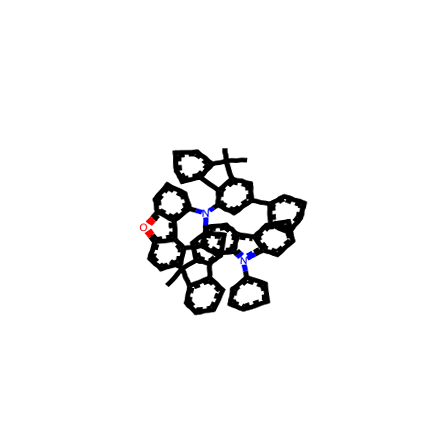 CC1(C)c2ccccc2-c2ccc(N(c3cc(-c4ccccc4)cc4c3-c3ccccc3C4(C)C)c3cccc4oc5cccc(-c6ccc7c8ccccc8n(-c8ccccc8)c7c6)c5c34)cc21